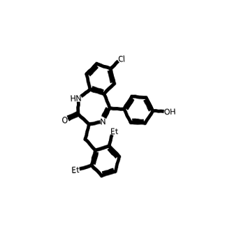 CCc1cccc(CC)c1CC1N=C(c2ccc(O)cc2)c2cc(Cl)ccc2NC1=O